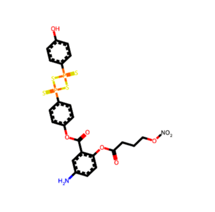 Nc1ccc(OC(=O)CCCO[N+](=O)[O-])c(C(=O)Oc2ccc(P3(=S)SP(=S)(c4ccc(O)cc4)S3)cc2)c1